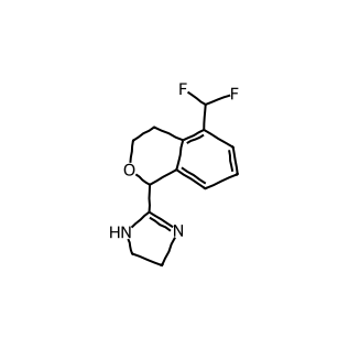 FC(F)c1cccc2c1CCOC2C1=NCCN1